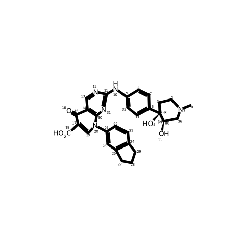 CN1CC[C@@](O)(c2ccc(Nc3ncc4c(=O)c(C(=O)O)cn(-c5ccc6c(c5)CCC6)c4n3)cc2)[C@H](O)C1